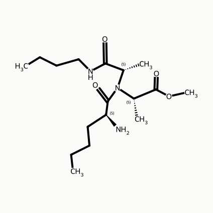 CCCCNC(=O)[C@H](C)N(C(=O)[C@@H](N)CCCC)[C@@H](C)C(=O)OC